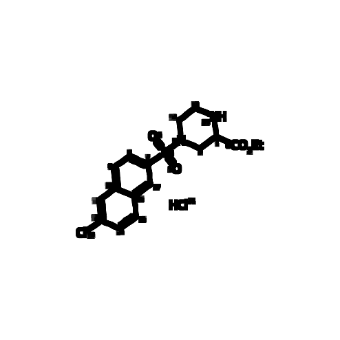 CCOC(=O)C1CN(S(=O)(=O)c2ccc3cc(Cl)ccc3c2)CCN1.Cl